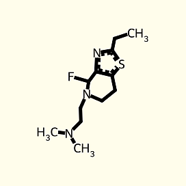 CCc1nc2c(s1)CCN(CCN(C)C)C2F